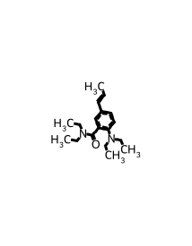 C/C=C/c1ccc(N(CC)CC)c(C(=O)N(CC)CC)c1